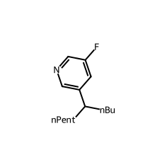 CCCCCC(CCCC)c1cncc(F)c1